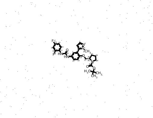 Cn1nccc1-c1cc(NC(=O)Nc2ccc(F)cc2F)ccc1OC[C@H]1CCCN1C(=O)OC(C)(C)C